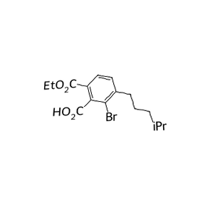 CCOC(=O)c1ccc(CCCC(C)C)c(Br)c1C(=O)O